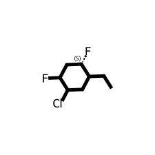 CCC1CC(Cl)C(F)C[C@@H]1F